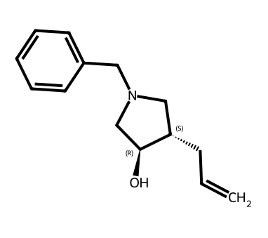 C=CC[C@H]1CN(Cc2ccccc2)C[C@@H]1O